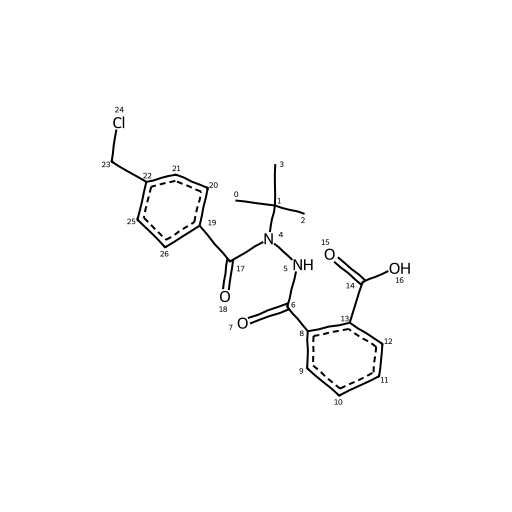 CC(C)(C)N(NC(=O)c1ccccc1C(=O)O)C(=O)c1ccc(CCl)cc1